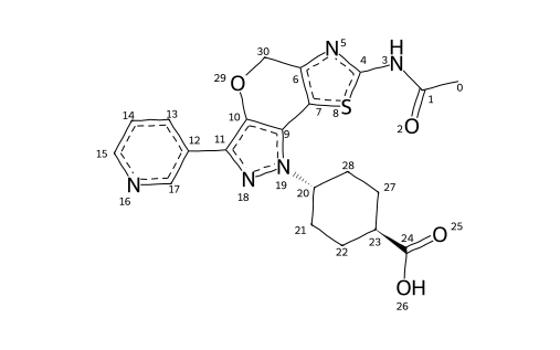 CC(=O)Nc1nc2c(s1)-c1c(c(-c3cccnc3)nn1[C@H]1CC[C@H](C(=O)O)CC1)OC2